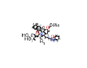 COCOc1ccc(C(C/C=C/c2nc3ccccc3o2)C(C)N(Cc2ccc3ccccc3c2)C(=O)C[C@H](CC(=O)O)C(=O)O)cc1OC